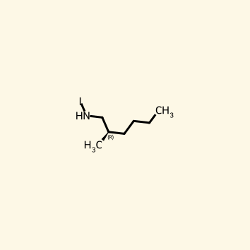 CCCC[C@@H](C)CNI